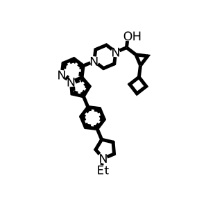 CCN1CCC(c2ccc(-c3cc4c(N5CCN(C(O)C6CC6C6CCC6)CC5)ccnn4c3)cc2)C1